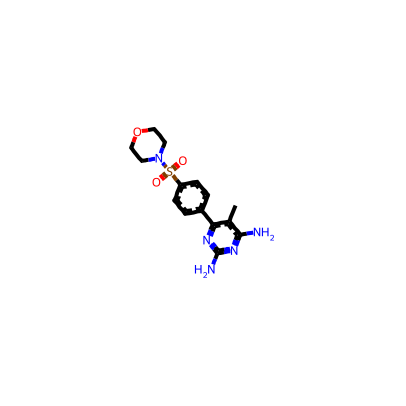 Cc1c(N)nc(N)nc1-c1ccc(S(=O)(=O)N2CCOCC2)cc1